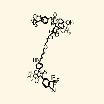 Cc1ncsc1-c1ccc(CNC(=O)[C@@H]2C[C@@H](O)CN2C(=O)C(CC(=O)COCCCOCCCCNc2ccc(N3C(=S)N(c4ccc(C#N)c(C(F)(F)F)c4)C(=O)C3(C)C)cc2)C(C)(C)C)cc1